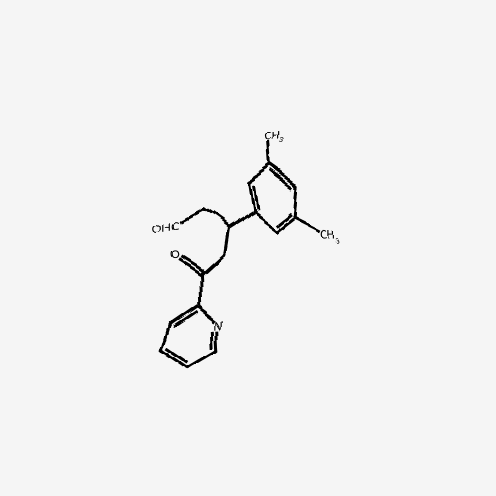 Cc1cc(C)cc(C(CC=O)CC(=O)c2ccccn2)c1